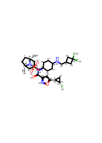 O=C(NC1C[C@H]2CC[C@@H](C1)N2S(=O)(=O)CC1CCC(NCC2CC(F)(F)C2)CC1)c1cc([C@H]2C[C@@H]2F)on1